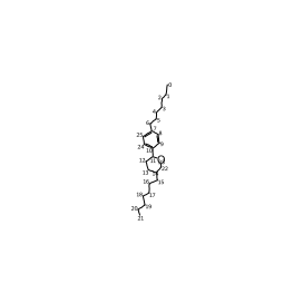 CCCCCCCc1ccc(C2CCC(CCCCCCC)CO2)cc1